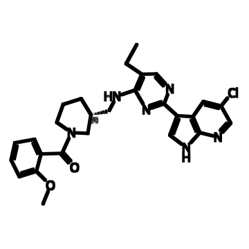 CCc1cnc(-c2c[nH]c3ncc(Cl)cc23)nc1NC[C@H]1CCCN(C(=O)c2ccccc2OC)C1